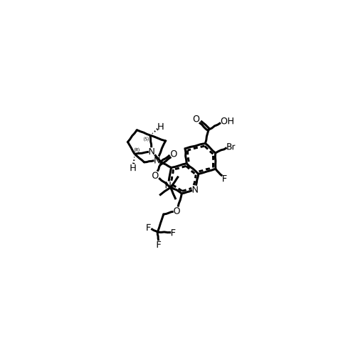 CC(C)(C)OC(=O)N1[C@@H]2CC[C@H]1CN(c1nc(OCC(F)(F)F)nc3c(F)c(Br)c(C(=O)O)cc13)C2